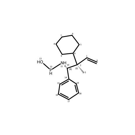 C=C[C@](C)(C1CCCCC1)[C@@H](NPO)c1ccccc1